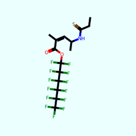 CCC(=S)NC(C)C=C(C)C(=O)OC(F)(F)C(F)(F)C(F)(F)C(F)(F)C(F)(F)C(F)(F)F